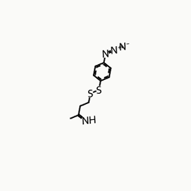 CC(=N)CCSSc1ccc(N=[N+]=[N-])cc1